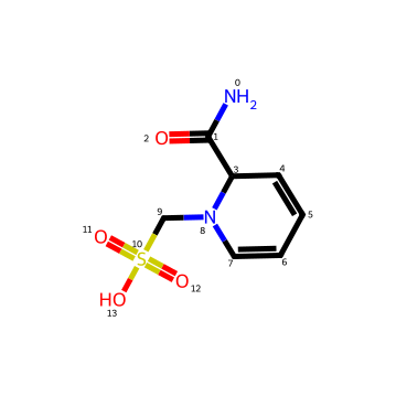 NC(=O)C1C=CC=CN1CS(=O)(=O)O